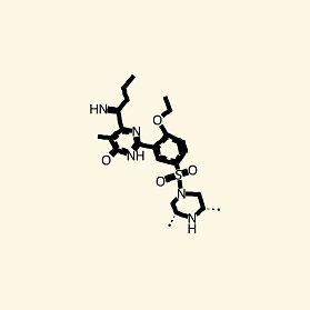 CCCC(=N)c1nc(-c2cc(S(=O)(=O)N3C[C@@H](C)N[C@@H](C)C3)c#cc2OCC)[nH]c(=O)c1C